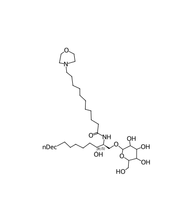 CCCCCCCCCCCCCCC[C@@H](O)[C@H](COC1OC(CO)C(O)C(O)C1O)NC(=O)CCCCCCCCCCN1CCOCC1